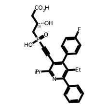 CCc1c(-c2ccccc2)nc(C(C)C)c(C#CP(=O)(O)C[C@@H](O)CC(=O)O)c1-c1ccc(F)cc1